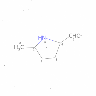 CC1CCC([C]=O)N1